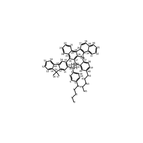 CCCCCc1ccc(Nc2cc3c(cc2-c2c4c5c(c6ccccc26)c2ccc6ccccc6c2n5-c2ccc(CCCCC)cc2B4)-c2ccccc2C3(C)C)cc1